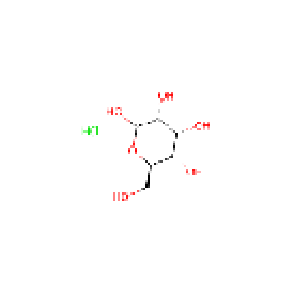 Cl.OC[C@H]1OC(O)[C@H](O)[C@H](O)[C@@H]1O